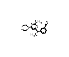 Cc1nc(C(C)c2cccc(C#N)c2)cc(N2CCOCC2)n1